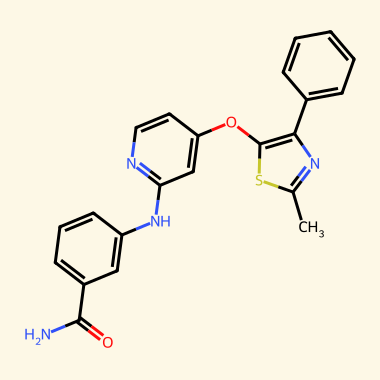 Cc1nc(-c2ccccc2)c(Oc2ccnc(Nc3cccc(C(N)=O)c3)c2)s1